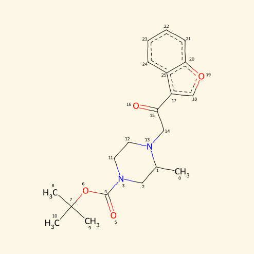 CC1CN(C(=O)OC(C)(C)C)CCN1CC(=O)c1coc2ccccc12